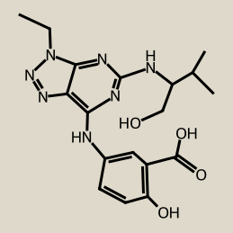 CCn1nnc2c(Nc3ccc(O)c(C(=O)O)c3)nc(NC(CO)C(C)C)nc21